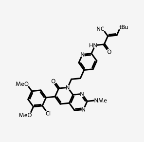 CNc1ncc2cc(-c3cc(OC)cc(OC)c3Cl)c(=O)n(CCc3ccc(NC(=O)/C(C#N)=C/C(C)(C)C)nc3)c2n1